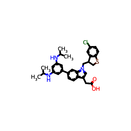 CC(C)Nc1cc(NC(C)C)cc(-c2ccc3c(CC(=O)O)cn(CC4CSc5ccc(Cl)cc54)c3c2)c1